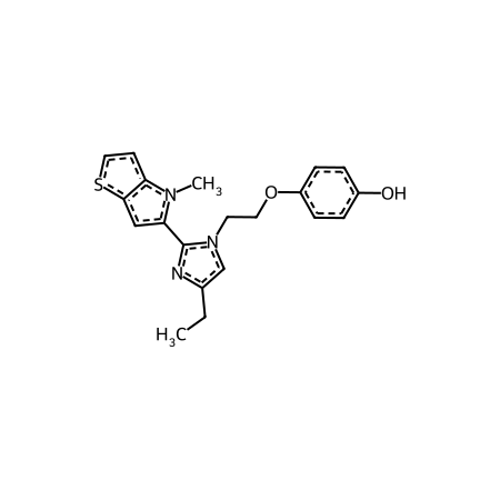 CCc1cn(CCOc2ccc(O)cc2)c(-c2cc3sccc3n2C)n1